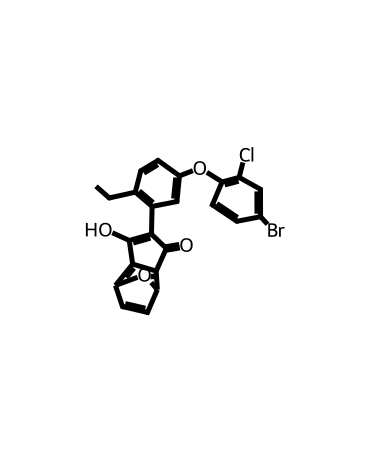 CCc1ccc(Oc2ccc(Br)cc2Cl)cc1C1=C(O)c2c(c3ccc2o3)C1=O